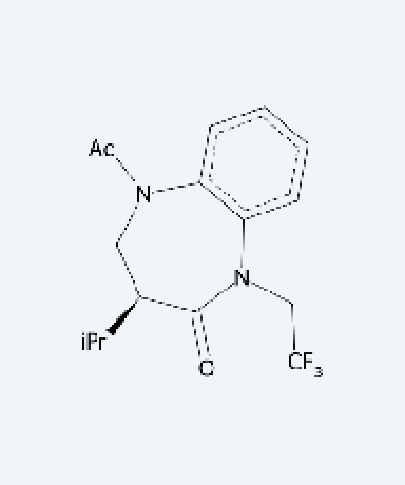 CC(=O)N1C[C@H](C(C)C)C(=O)N(CC(F)(F)F)c2ccccc21